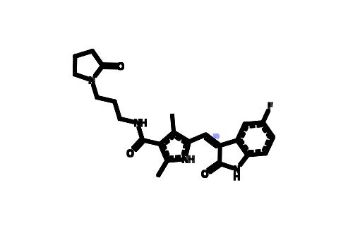 Cc1[nH]c(/C=C2\C(=O)Nc3ccc(F)cc32)c(C)c1C(=O)NCCCN1CCCC1=O